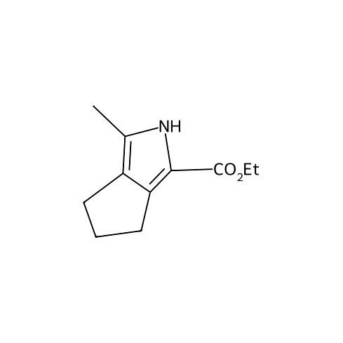 CCOC(=O)c1[nH]c(C)c2c1CCC2